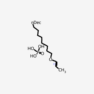 C/C=C/OCCCCCCCCCCCCCCCCCC.O=P(O)(O)O